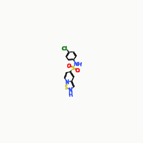 O=S(=O)(Nc1ccc(Cl)cc1)C1=CC2=CNSN2C=C1